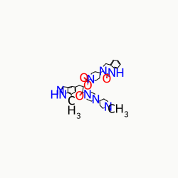 Cc1cc(CC(OC(=O)N2CCC(N3CCc4ccccc4NC3=O)CC2)C(=O)N2CCN(C3CCN(C)CC3)CC2)cc2cn[nH]c12